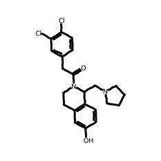 O=C(Cc1ccc(Cl)c(Cl)c1)N1CCc2cc(O)ccc2C1CN1CCCC1